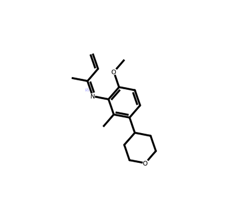 C=C/C(C)=N\c1c(OC)ccc(C2CCOCC2)c1C